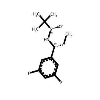 CC[C@@H](N[S@+]([O-])C(C)(C)C)c1cc(F)cc(F)c1